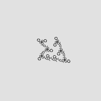 CC(COCC(C)OP(Oc1ccccc1)OC(C)COCC(C)OP(Oc1ccccc1)OC(C)COCC(C)P(c1ccccc1)C(C)COCC(C)P(c1ccccc1)C(C)COCC(C)OP(Oc1ccccc1)OC(C)COCC(C)OP(Oc1ccccc1)OC(C)COCC(C)OP(Oc1ccccc1)Oc1ccccc1)OP(Oc1ccccc1)Oc1ccccc1